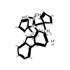 C[Si](C)=[Zr]([c]1cccc2c1Cc1ccccc1-2)([C]1(C)C=CC=C1)[C]1(C)C=CC=C1.[H-]